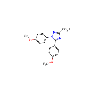 CC(C)Oc1ccc(-n2nc(C(=O)O)nc2-c2ccc(OC(F)(F)F)cc2)cc1